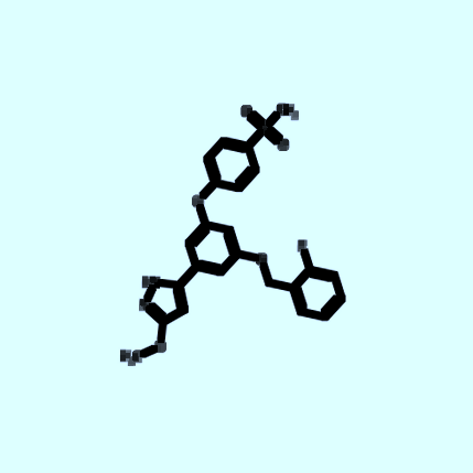 COc1cc(-c2cc(OCc3ccccc3F)cc(Oc3ccc(S(C)(=O)=O)cc3)c2)[nH]n1